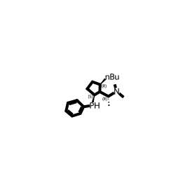 CCCC[C@@H]1CC[C@H](Pc2ccccc2)C1[C@@H](C)N(C)C